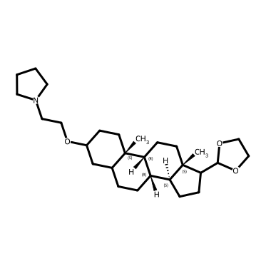 C[C@]12CCC(OCCN3CCCC3)CC1CC[C@@H]1[C@H]2CC[C@]2(C)C(C3OCCO3)CC[C@@H]12